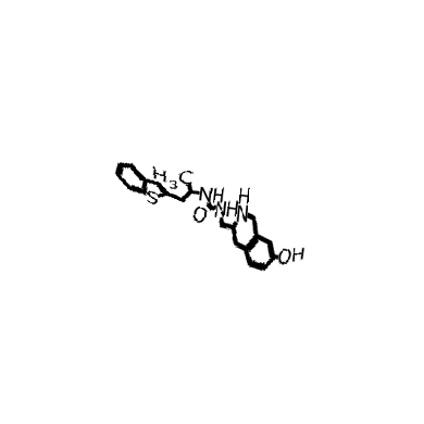 CC(Cc1cc2ccccc2s1)NC(=O)NCC1Cc2ccc(O)cc2CN1